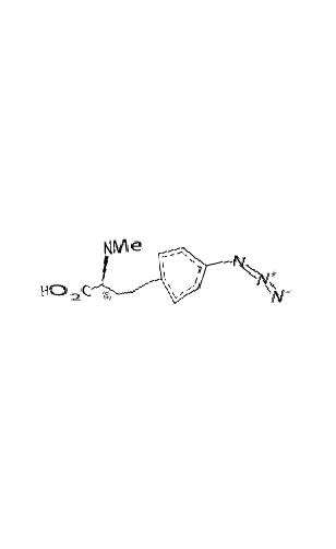 CN[C@@H](Cc1ccc(N=[N+]=[N-])cc1)C(=O)O